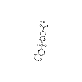 CC(C)(C)OC(=O)N1Cc2cn(S(=O)(=O)c3ccc4c(c3)OCCO4)cc2C1